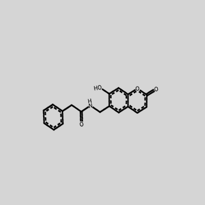 O=C(Cc1ccccc1)NCc1cc2ccc(=O)oc2cc1O